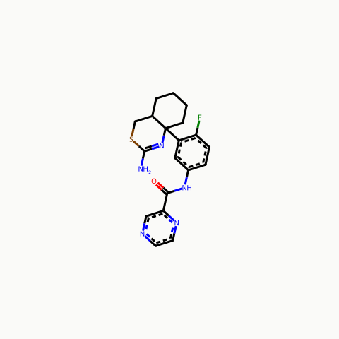 NC1=NC2(c3cc(NC(=O)c4cnccn4)ccc3F)CCCCC2CS1